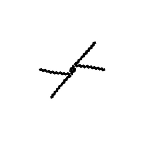 CCCCCCCCCCCCCCCCN(CCCCCCCCCCCCCCCC)Cc1ccc(CN(CCCCCCCCCCCCCCCC)CCCCCCCCCCCCCCCC)cc1